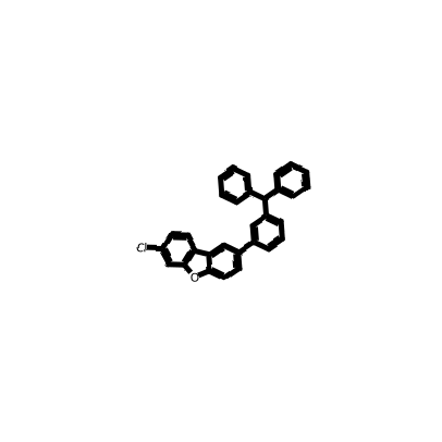 Clc1ccc2c(c1)oc1ccc(-c3cccc(C(c4ccccc4)c4ccccc4)c3)cc12